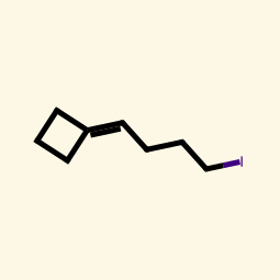 ICCCC=C1CCC1